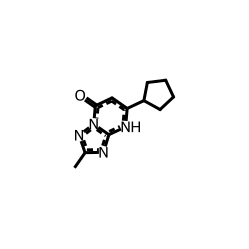 Cc1nc2[nH]c(C3CCCC3)cc(=O)n2n1